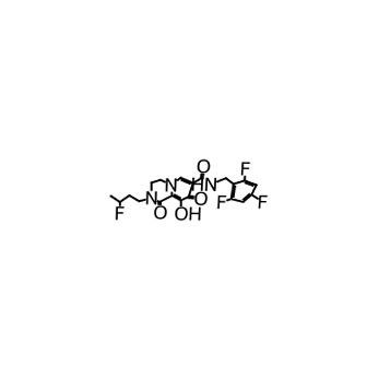 CC(F)CCN1CCn2cc(C(=O)NCc3c(F)cc(F)cc3F)c(=O)c(O)c2C1=O